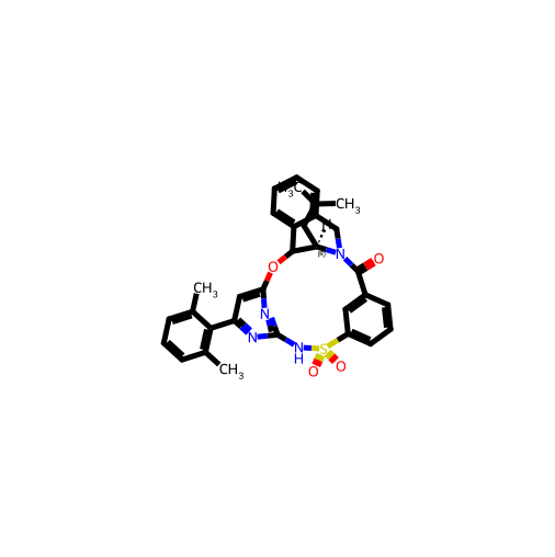 Cc1cccc(C)c1-c1cc2nc(n1)NS(=O)(=O)c1cccc(c1)C(=O)N1Cc3ccccc3C(O2)[C@H]1CC(C)C